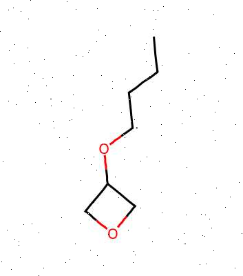 CCC[CH]OC1COC1